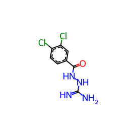 N=C(N)NNC(=O)c1ccc(Cl)c(Cl)c1